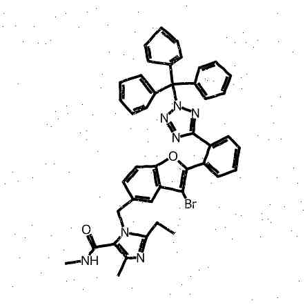 CCc1nc(C)c(C(=O)NC)n1Cc1ccc2oc(-c3ccccc3-c3nnn(C(c4ccccc4)(c4ccccc4)c4ccccc4)n3)c(Br)c2c1